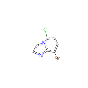 Clc1ccc(Br)c2nccn12